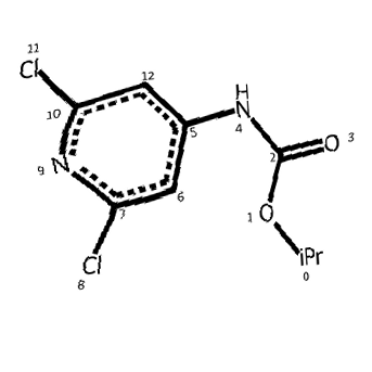 CC(C)OC(=O)Nc1cc(Cl)nc(Cl)c1